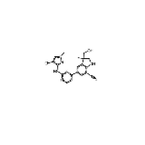 Cn1cc(Cl)c(Nc2nccc(-c3cc(C#N)c4c(c3)C(C)(CO)CN4)n2)n1